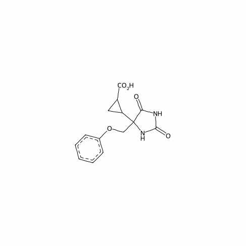 O=C1NC(=O)C(COc2ccccc2)(C2CC2C(=O)O)N1